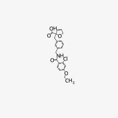 CCOc1ccc(C(=O)NCc2cccc(CC3(C(=O)O)C=CCO3)c2)c(Cl)c1